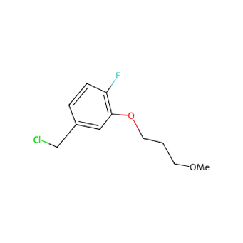 COCCCOc1cc(CCl)ccc1F